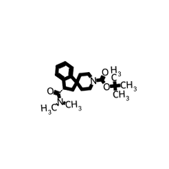 CN(C)C(=O)[C@H]1CC2(CCN(C(=O)OC(C)(C)C)CC2)c2ccccc21